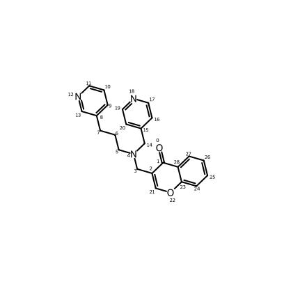 O=c1c(CN(CCCc2cccnc2)Cc2ccncc2)coc2ccccc12